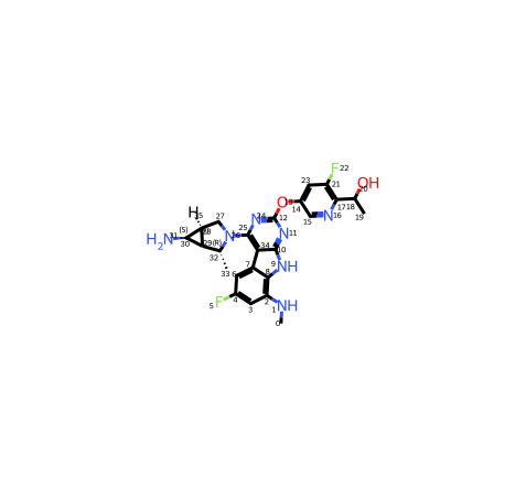 CNc1cc(F)cc2c1[nH]c1nc(Oc3cnc(C(C)O)c(F)c3)nc(N3C[C@H]4C([C@H]4N)[C@H]3C)c12